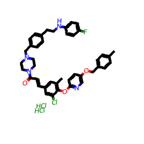 Cc1ccc(COc2ccc(Oc3c(C)cc(C=CC(=O)N4CCN(Cc5ccc(CCNc6ccc(F)cc6)cc5)CC4)cc3Cl)nc2)cc1.Cl.Cl